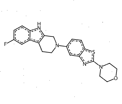 Fc1ccc2[nH]c3c(c2c1)CCN(c1ccc2sc(N4CCOCC4)nc2c1)C3